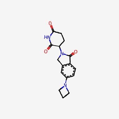 O=C1CCC(N2Cc3cc(N4CCC4)ccc3C2=O)C(=O)N1